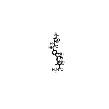 Cc1[nH]c(C=C2C(=O)Nc3cc(NC(=O)Nc4cc(C(C)(C)C)on4)ccc32)c(C)c1C(N)=O